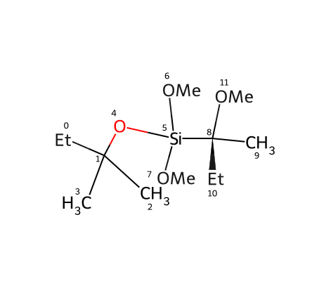 CCC(C)(C)O[Si](OC)(OC)[C@](C)(CC)OC